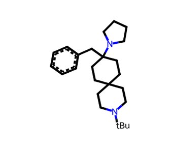 CC(C)(C)N1CCC2(CC1)CCC(Cc1ccccc1)(N1CCCC1)CC2